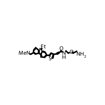 CCn1c2ccc(CNC)cc2c2ccc(-c3cc(C#CC(=O)NCCOCCN)cs3)cc21